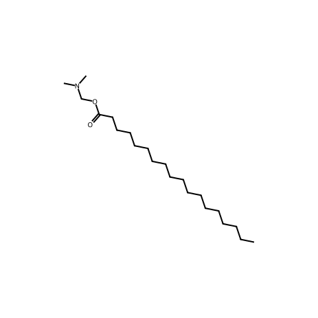 CCCCCCCCCCCCCCCCCC(=O)OCN(C)C